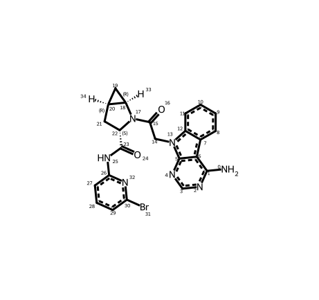 Nc1ncnc2c1c1ccccc1n2CC(=O)N1[C@@H]2C[C@@H]2C[C@H]1C(=O)Nc1cccc(Br)n1